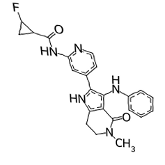 CN1CCc2[nH]c(-c3ccnc(NC(=O)C4CC4F)c3)c(Nc3ccccc3)c2C1=O